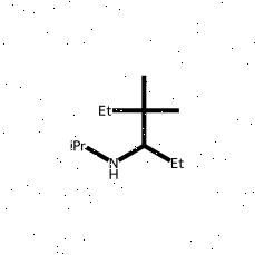 CCC(NC(C)C)C(C)(C)CC